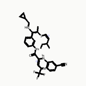 CCC(C)/C=C\SC(C)C(NCC1CC1)c1cccc(NC(=O)/C(=C/C(=N)C(F)(F)F)Nc2cccc(C#N)c2)c1